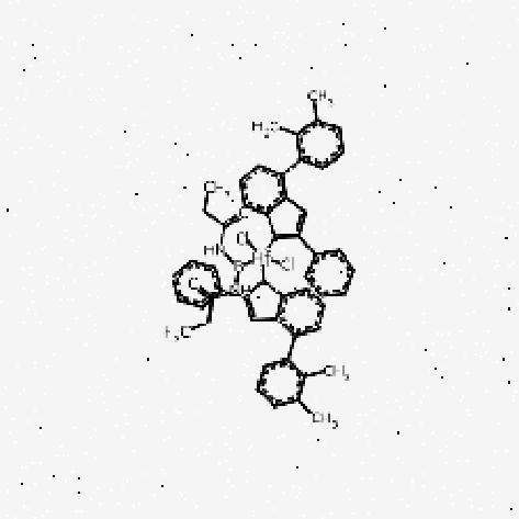 CCC(=O)N[B](NC(=O)CC)[Hf]([Cl])([Cl])([CH]1C(c2ccccc2)=Cc2c(-c3cccc(C)c3C)cccc21)[CH]1C(c2ccccc2)=Cc2c(-c3cccc(C)c3C)cccc21